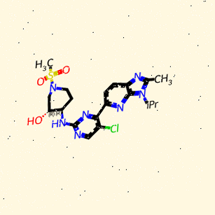 Cc1nc2ccc(-c3nc(N[C@@H]4CCN(S(C)(=O)=O)C[C@H]4O)ncc3Cl)nc2n1C(C)C